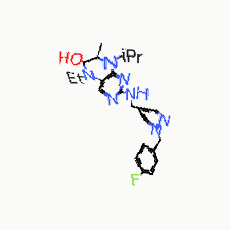 CCN1c2cnc(NCc3cnn(Cc4ccc(F)cc4)c3)nc2N(C(C)C)[C@H](C)C1O